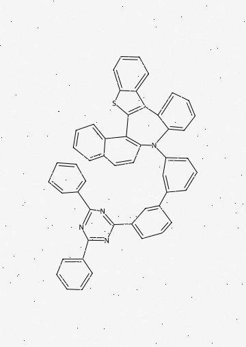 c1ccc(-c2nc(-c3ccccc3)nc(-c3cccc(-c4cccc(N5c6ccccc6-c6c(sc7ccccc67)-c6c5ccc5ccccc65)c4)c3)n2)cc1